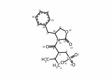 CC(C)C(CS(=O)(=O)Cl)C(=O)N1C(=O)OCC1Cc1ccccc1